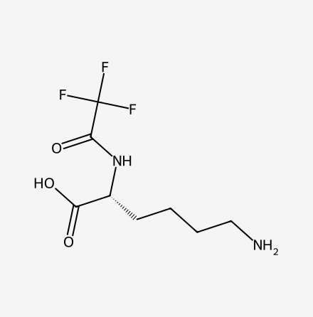 NCCCC[C@@H](NC(=O)C(F)(F)F)C(=O)O